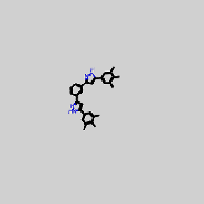 Cc1cc(-c2cc(-c3cccc(-c4cc(-c5cc(C)c(C)c(C)c5)[nH]n4)c3)n[nH]2)cc(C)c1C